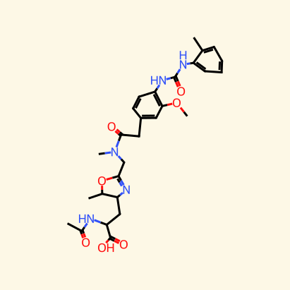 COc1cc(CC(=O)N(C)CC2=NC(CC(NC(C)=O)C(=O)O)C(C)O2)ccc1NC(=O)Nc1ccccc1C